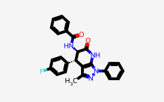 Cc1nn(-c2ccccc2)c2c1[C@H](c1ccc(F)cc1)[C@@H](NC(=O)c1ccccc1)C(=O)N2